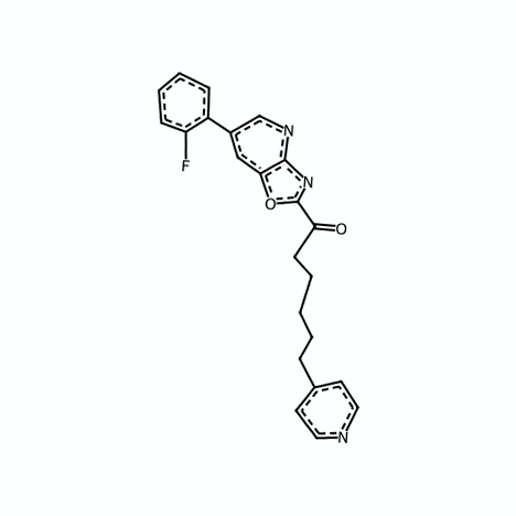 O=C(CCCCCc1ccncc1)c1nc2ncc(-c3ccccc3F)cc2o1